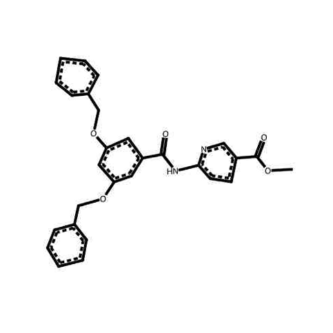 COC(=O)c1ccc(NC(=O)c2cc(OCc3ccccc3)cc(OCc3ccccc3)c2)nc1